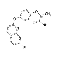 C[C@@H](Oc1ccc(Oc2ccc3ccc(Br)cc3n2)cc1)C([NH])=O